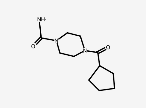 [NH]C(=O)N1CCN(C(=O)C2CCCC2)CC1